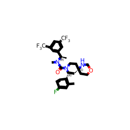 Cc1cc(F)ccc1[C@H]1C[C@]2(CCOCN2)CCN1C(=O)N(C)[C@H](C)c1cc(C(F)(F)F)cc(C(F)(F)F)c1